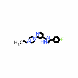 CCCN1CCN(c2cc(-c3nc(-c4ccc(F)cc4)c[nH]3)ccn2)CC1